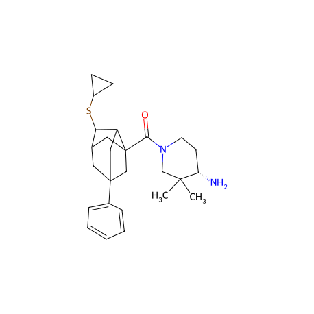 CC1(C)CN(C(=O)C23CC4CC(c5ccccc5)(CC2C4SC2CC2)C3)CC[C@@H]1N